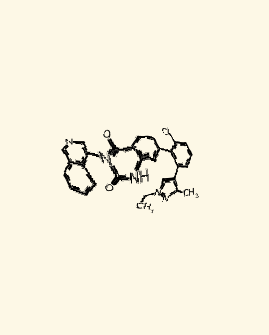 CCn1cc(-c2cccc(Cl)c2-c2ccc3c(=O)n(-c4cncc5ccccc45)c(=O)[nH]c3c2)c(C)n1